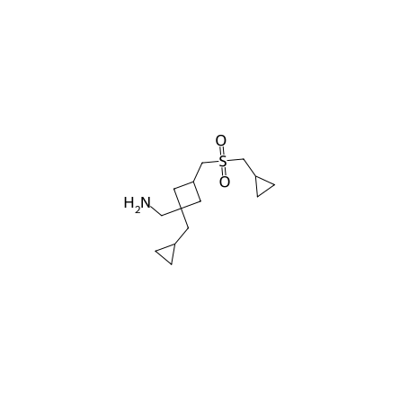 NCC1(CC2CC2)CC(CS(=O)(=O)CC2CC2)C1